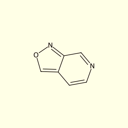 c1cc2conc2cn1